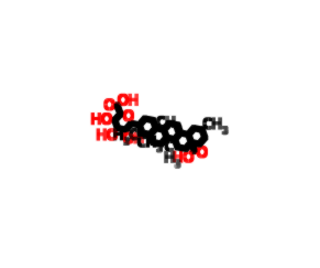 CC1CCC2(C(=O)O)CCC3C(=CCC4C3(C)CCC3C(C)(C)C(C5OC(C(=O)O)C(O)C(O)C5O)CCC34C)C2C1